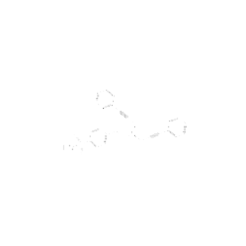 NS(=O)(=O)c1ccc(CCN(CC#Cc2ccccc2)CC#Cc2ccccc2)cc1